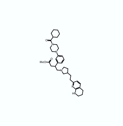 COC(=O)CC(CN1CCC(CCc2ccc3c(n2)NCCC3)C1)c1cccc(N2CCN(C(=O)C3CCCCC3)CC2)c1